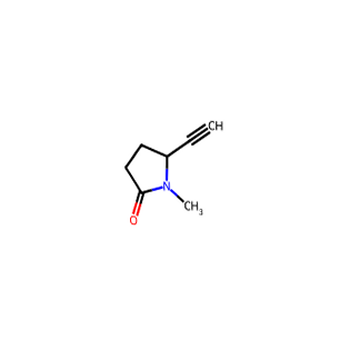 C#CC1CCC(=O)N1C